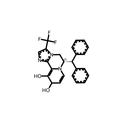 OC1=C2c3ncc(C(F)(F)F)n3C[C@H](C(c3ccccc3)c3ccccc3)N2C=CC1O